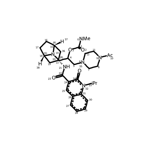 CNC(=O)OC(CN1CCN(C(C)=O)CC1)CN1[C@@H]2CC[C@H]1C[C@@H](NC(=O)c1cc3ccccc3n(C(C)C)c1=O)C2